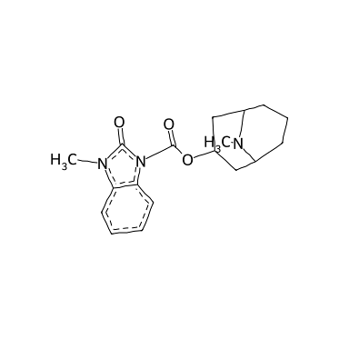 CN1C2CCCC1CC(OC(=O)n1c(=O)n(C)c3ccccc31)C2